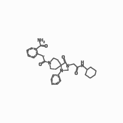 NC(=O)c1ccccc1[CH]C(=O)N1CCC2(CC1)C(=O)N(CC(=O)NC1CCCCC1)CN2c1ccccc1